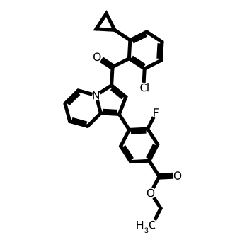 CCOC(=O)c1ccc(-c2cc(C(=O)c3c(Cl)cccc3C3CC3)n3ccccc23)c(F)c1